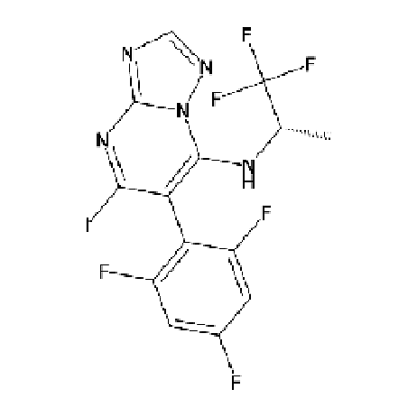 C[C@H](Nc1c(-c2c(F)cc(F)cc2F)c(I)nc2ncnn12)C(F)(F)F